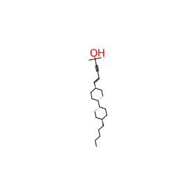 CCCCC[C@H]1CC[C@H]([C@H]2CC[C@H](C=CC#CC(C)(C)O)CC2)CC1